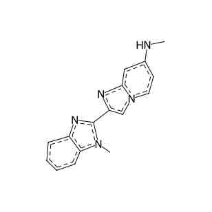 CNc1ccn2cc(-c3nc4ccccc4n3C)nc2c1